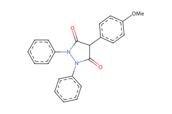 COc1ccc(C2C(=O)N(c3ccccc3)N(c3ccccc3)C2=O)cc1